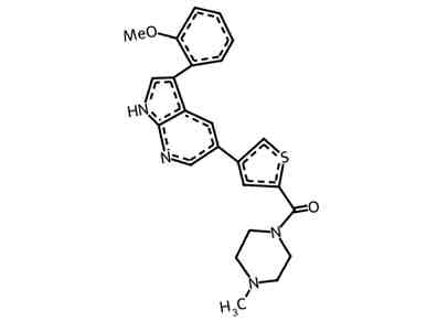 COc1ccccc1-c1c[nH]c2ncc(-c3csc(C(=O)N4CCN(C)CC4)c3)cc12